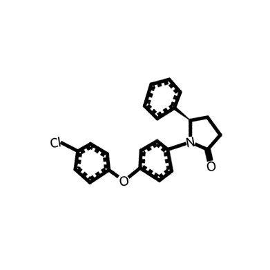 O=C1CC[C@H](c2ccccc2)N1c1ccc(Oc2ccc(Cl)cc2)cc1